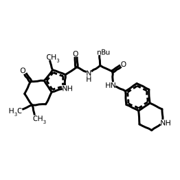 CCCCC(NC(=O)c1[nH]c2c(c1C)C(=O)CC(C)(C)C2)C(=O)Nc1ccc2c(c1)CCNC2